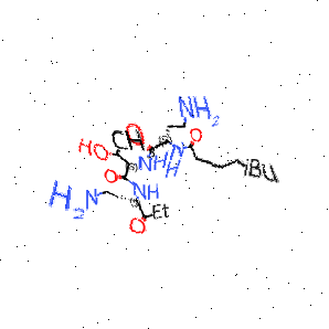 CCC(=O)[C@H](CCN)NC(=O)[C@@H](NC(=O)[C@H](CCN)NC(=O)CCCCC(C)CC)C(C)O